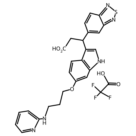 O=C(O)C(F)(F)F.O=C(O)CC(c1ccc2nsnc2c1)c1c[nH]c2cc(OCCCNc3ccccn3)ccc12